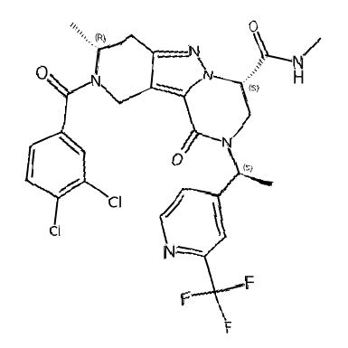 CNC(=O)[C@@H]1CN([C@@H](C)c2ccnc(C(F)(F)F)c2)C(=O)c2c3c(nn21)C[C@@H](C)N(C(=O)c1ccc(Cl)c(Cl)c1)C3